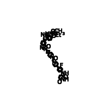 CCN(C)S(=O)(=O)Nc1cccc(Oc2ccc3ncn(C4CC5(CCN(C(=O)CN6CCC(c7ccc(NC8CCC(=O)NC8=O)cc7F)CC6)CC5)C4)c(=O)c3c2)c1C#N